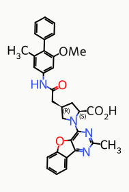 COc1cc(NC(=O)C[C@H]2C[C@@H](C(=O)O)N(c3nc(C)nc4c3oc3ccccc34)C2)cc(C)c1-c1ccccc1